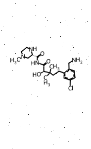 CN1CCN[C@H](C(=O)NC(=O)[C@H](O)C(C)(C)CCc2cc(Cl)ccc2CN)C1